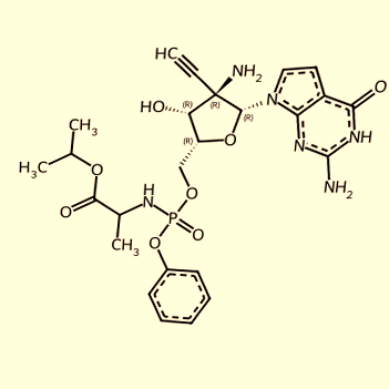 C#C[C@@]1(N)[C@@H](O)[C@@H](COP(=O)(NC(C)C(=O)OC(C)C)Oc2ccccc2)O[C@H]1n1ccc2c(=O)[nH]c(N)nc21